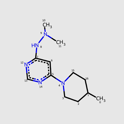 CC1CCN(c2cc(NN(C)C)ncn2)CC1